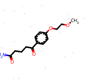 COCCOc1ccc(C(=O)CCCC(N)=O)cc1